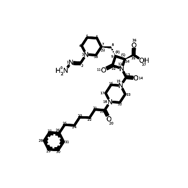 NN=CN1CCC[C@@H](C[C@H]2C(=O)N(C(=O)N3CCN(C(=O)CCCCCc4ccccc4)CC3)[C@@H]2C(=O)O)C1